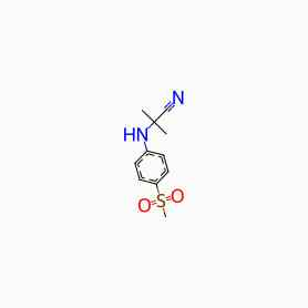 CC(C)(C#N)Nc1ccc(S(C)(=O)=O)cc1